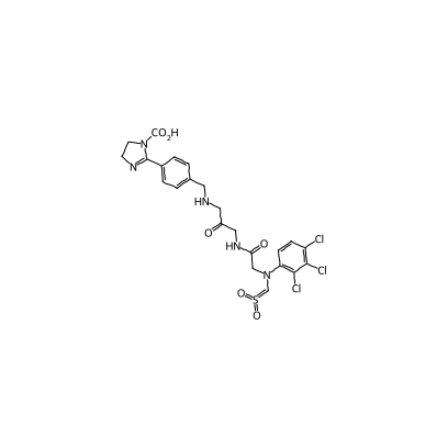 O=C(CNCc1ccc(C2=NCCN2C(=O)O)cc1)CNC(=O)CN(C=S(=O)=O)c1ccc(Cl)c(Cl)c1Cl